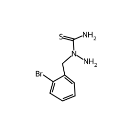 NC(=S)N(N)Cc1ccccc1Br